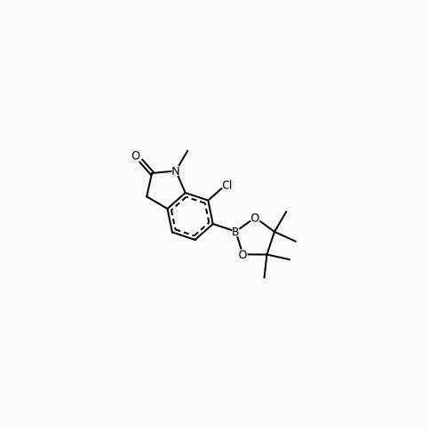 CN1C(=O)Cc2ccc(B3OC(C)(C)C(C)(C)O3)c(Cl)c21